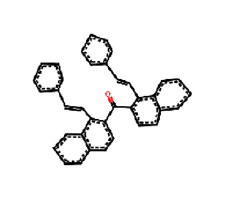 O=C(c1ccc2ccccc2c1/C=C/c1ccccc1)c1ccc2ccccc2c1/C=C/c1ccccc1